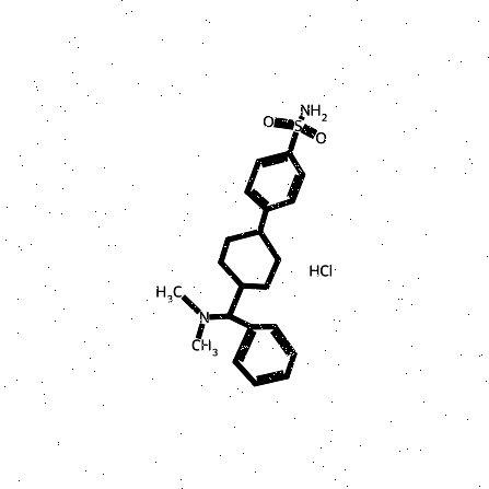 CN(C)C(c1ccccc1)C1CCC(c2ccc(S(N)(=O)=O)cc2)CC1.Cl